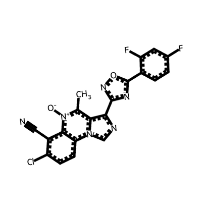 Cc1c2c(-c3noc(-c4ccc(F)cc4F)n3)ncn2c2ccc(Cl)c(C#N)c2[n+]1[O-]